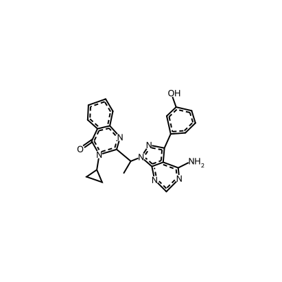 CC(c1nc2ccccc2c(=O)n1C1CC1)n1nc(-c2cccc(O)c2)c2c(N)ncnc21